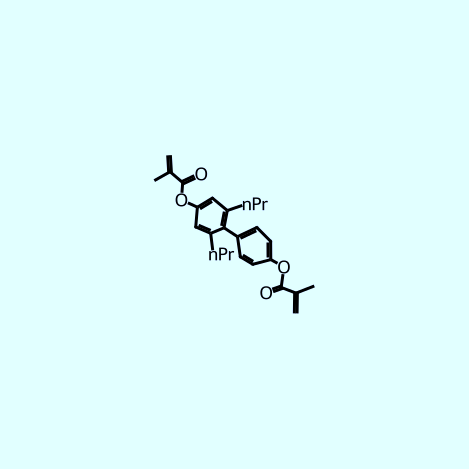 C=C(C)C(=O)Oc1ccc(-c2c(CCC)cc(OC(=O)C(=C)C)cc2CCC)cc1